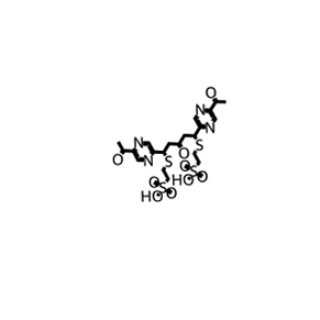 CC(=O)c1cnc(C(CC(=O)CC(SCCS(=O)(=O)O)c2cnc(C(C)=O)cn2)SCCS(=O)(=O)O)cn1